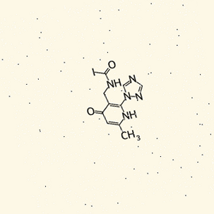 Cc1cc(=O)c(CNC(=O)I)c(-n2cncn2)[nH]1